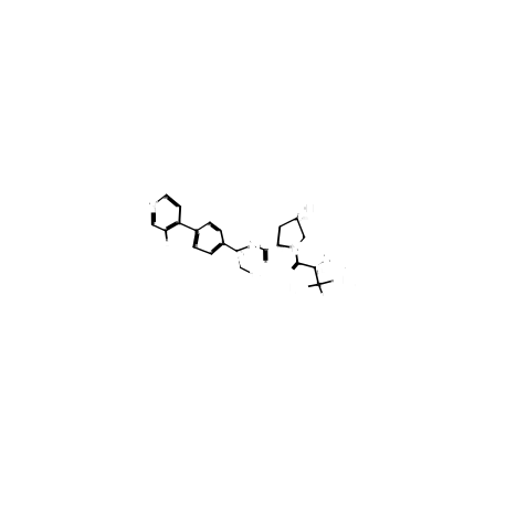 CC(C)(C)[C@H](N)C(=O)N1C[C@H](O)C[C@H]1C(=O)N[C@@H](CO)c1ccc(-c2ccncc2F)cc1